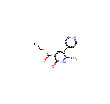 CCOC(=O)c1cc(-c2ccncc2)c(C)[nH]c1=O